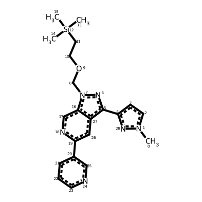 Cn1ccc(-c2nn(COCC[Si](C)(C)C)c3cnc(-c4cccnc4)cc23)n1